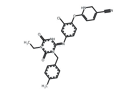 CCn1c(=O)[nH]/c(=N\c2ccc(OC3=CC=C(C#N)CN3)c(Cl)c2)n(Cc2ccc(C)cc2)c1=O